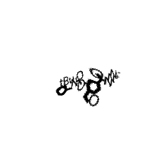 CC(C)(C)N(Cc1ccccc1)C(=O)Oc1cc(C(=O)N=[N+]=[N-])cc2occc12